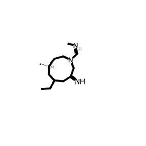 CCC1CC(=N)CN(/C=N\C)CC[C@@H](C)C1